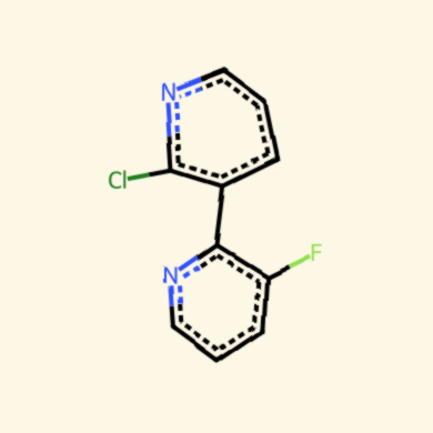 Fc1cccnc1-c1cccnc1Cl